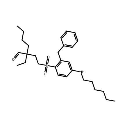 CCCCCCNc1ccc(S(=O)(=O)CCC(C=O)(CC)CCCC)c(Cc2ccccc2)c1